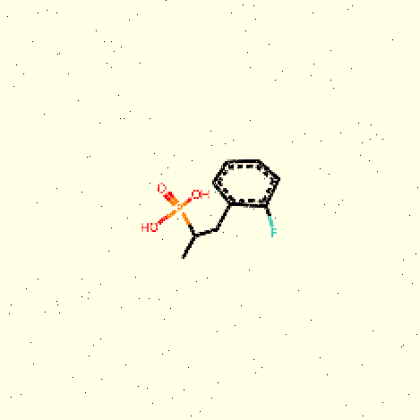 CC(Cc1ccccc1F)P(=O)(O)O